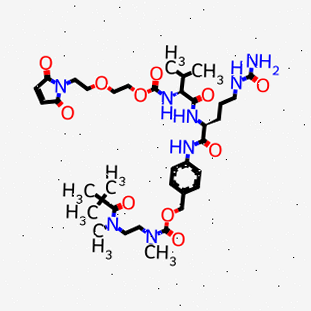 CC(C)[C@H](NC(=O)OCCOCCN1C(=O)C=CC1=O)C(=O)N[C@@H](CCCNC(N)=O)C(=O)Nc1ccc(COC(=O)N(C)CCN(C)C(=O)C(C)(C)C)cc1